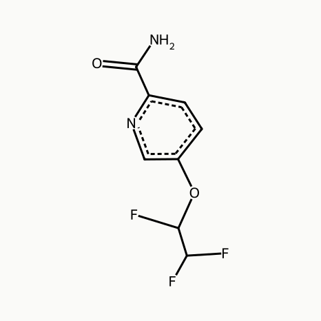 NC(=O)c1ccc(OC(F)C(F)F)cn1